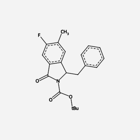 Cc1cc2c(cc1F)C(=O)N(C(=O)OC(C)(C)C)C2Cc1ccccc1